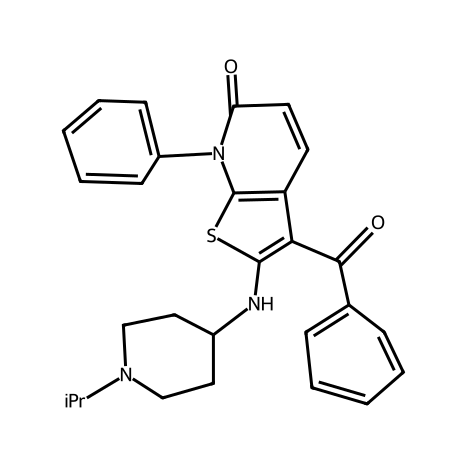 CC(C)N1CCC(Nc2sc3c(ccc(=O)n3-c3ccccc3)c2C(=O)c2ccccc2)CC1